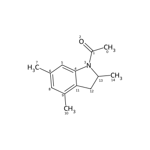 CC(=O)N1c2cc(C)cc(C)c2CC1C